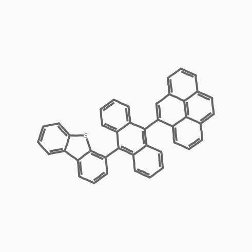 c1cc2ccc3cccc4c(-c5c6ccccc6c(-c6cccc7c6sc6ccccc67)c6ccccc56)cc(c1)c2c34